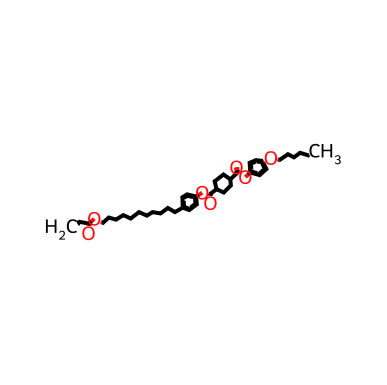 C=CC(=O)OCCCCCCCCCCCc1ccc(OC(=O)C2CCC(C(=O)Oc3ccc(OCCCCCC)cc3)CC2)cc1